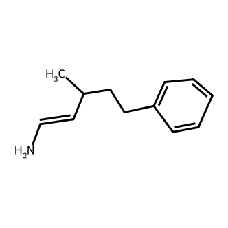 CC(C=CN)CCc1ccccc1